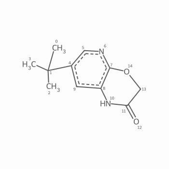 CC(C)(C)c1cnc2c(c1)NC(=O)CO2